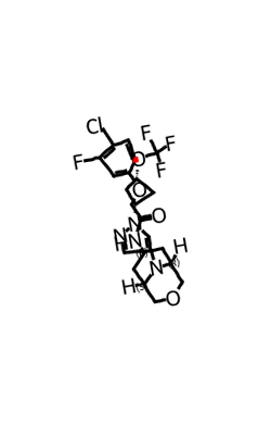 O=C(COc1ccc(Cl)c(F)c1)N[C@@H]1C[C@H]2COC[C@@H](C1)N2c1cnn([C@H]2C[C@@H](OC(F)(F)F)C2)c1